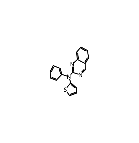 c1ccc(N(c2ncc3ccccc3n2)c2cccs2)cc1